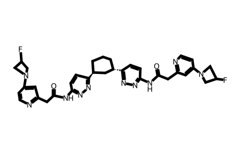 O=C(Cc1cc(N2CC(F)C2)ccn1)Nc1ccc([C@H]2CCC[C@H](c3ccc(NC(=O)Cc4cc(N5CC(F)C5)ccn4)nn3)C2)nn1